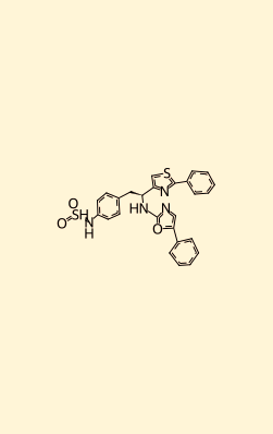 O=[SH](=O)Nc1ccc(C[C@H](Nc2ncc(-c3ccccc3)o2)c2csc(-c3ccccc3)n2)cc1